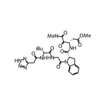 CC[C@H](C)[C@H](NC(=O)Cc1nn[nH]n1)C(=O)NCC(=O)N1c2ccccc2C[C@H]1C(=O)N[C@@H](CC(=O)OC)C(=O)C(=O)NC